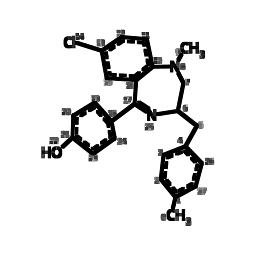 Cc1ccc(CC2CN(C)c3ccc(Cl)cc3C(c3ccc(O)cc3)=N2)cc1